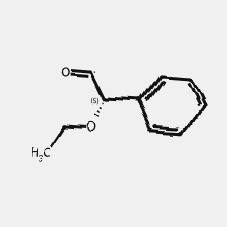 CCO[C@H]([C]=O)c1ccccc1